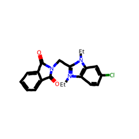 CCn1c(CN2C(=O)c3ccccc3C2=O)[n+](CC)c2ccc(Cl)cc21